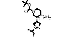 CC(C)(C)OC(=O)N1CC[C@H](N)[C@@H](c2cnn(C(F)F)c2)C1